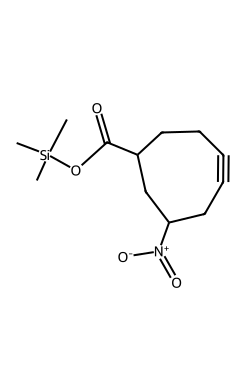 C[Si](C)(C)OC(=O)C1CCC#CCC([N+](=O)[O-])C1